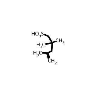 C=C(C)CC(C)(C)CS(=O)(=O)O